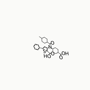 CC1CCC(C(=O)N(c2cc(-c3ccccc3)sc2C(=O)O)C2CCC(C(=O)O)CC2)CC1